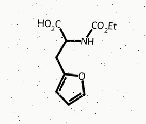 CCOC(=O)NC(Cc1ccco1)C(=O)O